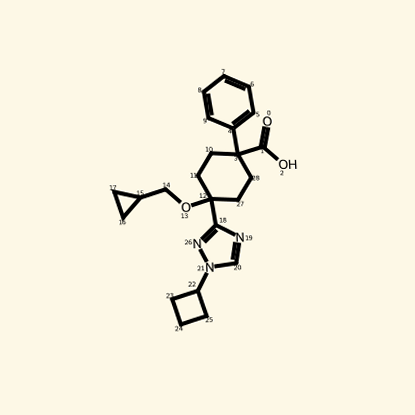 O=C(O)C1(c2ccccc2)CCC(OCC2CC2)(c2ncn(C3CCC3)n2)CC1